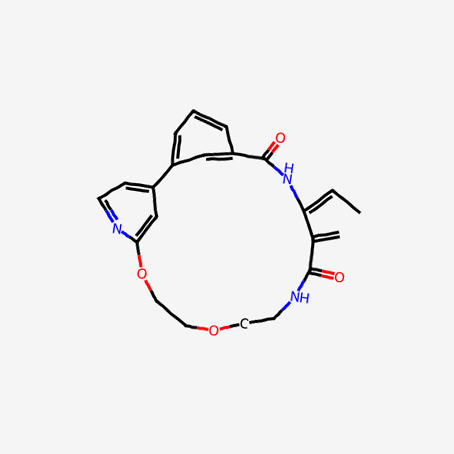 C=C1C(=O)NCCOCCOc2cc(ccn2)-c2cccc(c2)C(=O)N/C1=C/C